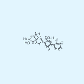 Cc1nc(N2CCC3(CC2)CS(O)(O)C[C@H]3N)c(C(=O)O)nc1-c1cccc(Cl)c1Cl